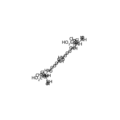 O=C(O)CC(NC(=O)[C@H](CCCCNC(=O)CCOCCOCCOCCNC(=O)CCC(=O)NCCOCCOCCOCCC(=O)NCCCC[C@H](NC(=O)CCCCNc1ccccn1)C(=O)NC(CC(=O)O)c1cc(Cl)cc(Cl)c1)NC(=O)CCCCNc1ccccn1)c1cc(Cl)cc(Cl)c1